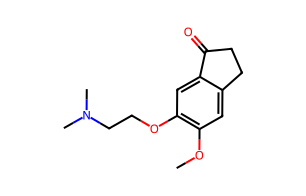 COc1cc2c(cc1OCCN(C)C)C(=O)CC2